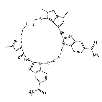 CCn1nc(C)c2c1C(=O)Nc1nc3cc(C(N)=O)ccc3n1CCCCn1c(nc3cc(C(N)=O)ccc31)NC(=O)c1cc(C)nn1CC1CC(C2)C1